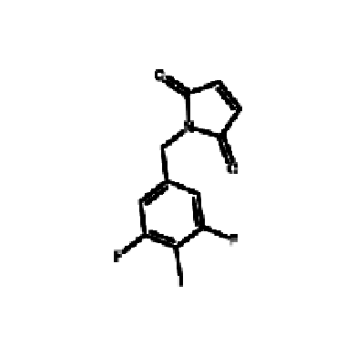 O=C1C=CC(=O)N1Cc1cc(F)c(I)c(F)c1